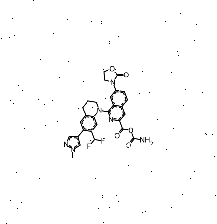 Cn1cc(-c2cc3c(cc2C(F)F)N(c2nc(C(=O)OC(N)=O)cc4ccc(N5CCOC5=O)cc24)CCC3)cn1